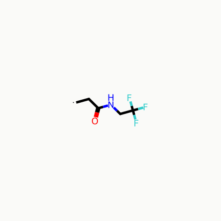 [CH2]CC(=O)NCC(F)(F)F